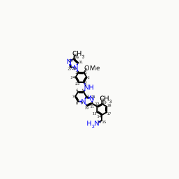 COc1cc(Nc2cccn3cc(-c4cc(CN)ccc4C)nc23)ccc1-n1cnc(C)c1